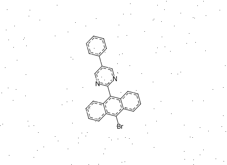 Brc1c2ccccc2c(-c2ncc(-c3ccccc3)cn2)c2ccccc12